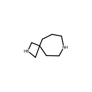 B1CC2(C1)CCCNCC2